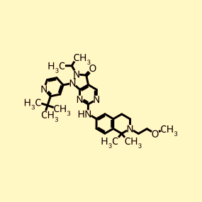 COCCN1CCc2cc(Nc3ncc4c(=O)n(C(C)C)n(-c5ccnc(C(C)(C)C)c5)c4n3)ccc2C1(C)C